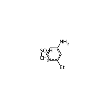 CCc1cccc(N)c1.CS(=O)(=O)O